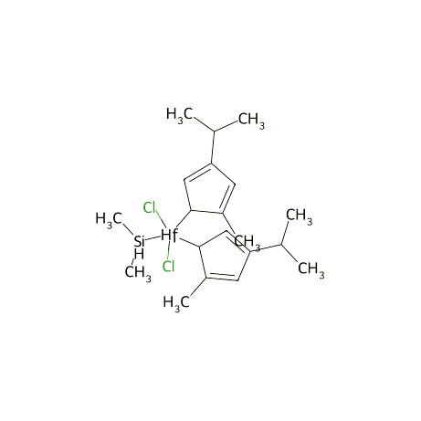 CC1=CC(C(C)C)=C[CH]1[Hf]([Cl])([Cl])([CH]1C=C(C(C)C)C=C1C)[SiH](C)C